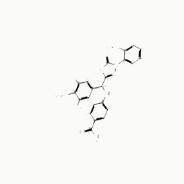 COc1ccccc1-n1nc(C(Nc2ccc(C(=N)N)cc2)c2cc(C)c(OC)c(C)c2)[nH]c1=O